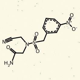 N#CCN(CC(N)=O)S(=O)(=O)Cc1cccc([N+](=O)[O-])c1